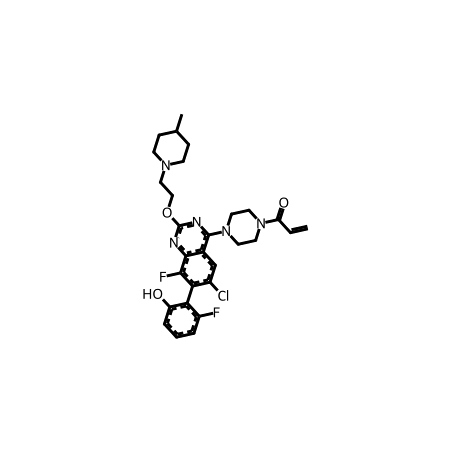 C=CC(=O)N1CCN(c2nc(OCCN3CCC(C)CC3)nc3c(F)c(-c4c(O)cccc4F)c(Cl)cc23)CC1